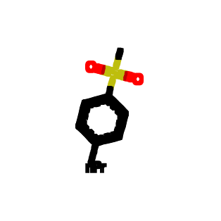 CCCc1ccc(S(C)(=O)=O)cc1